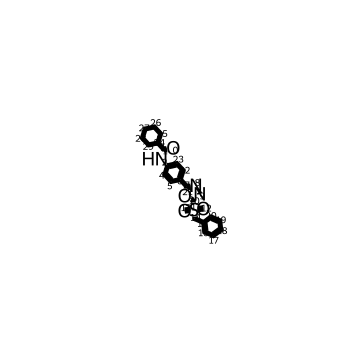 O=C(Nc1ccc(-c2nnc(S(=O)(=O)Cc3ccccc3)o2)cc1)C1CCCCC1